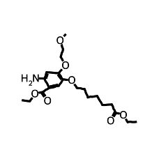 CCOC(=O)CCCCCCOc1cc(C(=O)OCC)c(N)cc1OCCOC